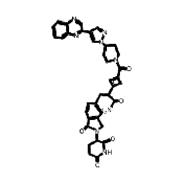 NC(=O)C(Cc1ccc2c(c1)CN(C1CCC(=O)NC1=O)C2=O)C12CC(C(=O)N3CCC(n4cc(-c5cnc6ccccc6n5)cn4)CC3)(C1)C2